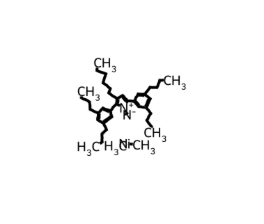 CCCCCCC1=C(c2cc(CCCC)cc(CCCC)c2)[N+](=[N-])C(c2cc(CCCC)cc(CCCC)c2)=C1.[CH3][Ni][CH3]